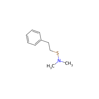 CN(C)SCCc1ccccc1